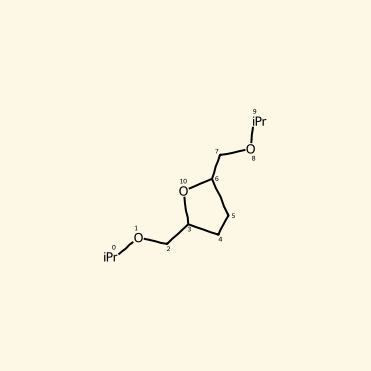 CC(C)OCC1CCC(COC(C)C)O1